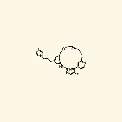 Fc1cnc2nc1-c1ccnc(c1)OCC/C=C/COCc1cc(CCCn3ccnc3)cc(c1)N2